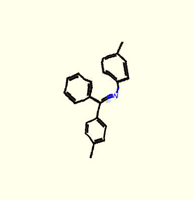 Cc1ccc(/N=C(\c2ccccc2)c2ccc(C)cc2)cc1